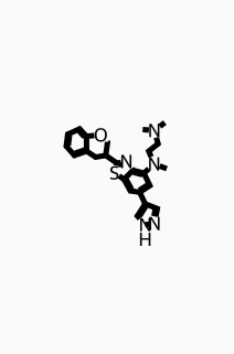 CN(C)CCN(C)c1cc(-c2cn[nH]c2)cc2sc(C3COc4ccccc4C3)nc12